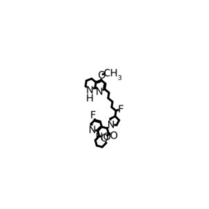 COc1cc(CCCCC(F)C2CCN(C(C(=O)O)c3cc(F)cnc3C3CCCCO3)C2)nc2c1CCCN2